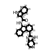 O=C(NC1c2ccccc2-c2c(-c3nc4ccncc4[nH]3)cccc21)c1c[nH]c2ncccc12